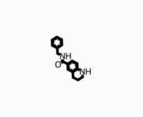 O=C(NCc1ccccc1)c1ccc2c(c1)CCCN2